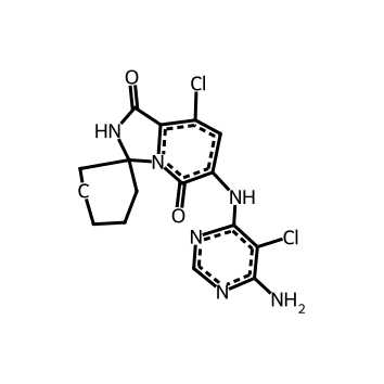 Nc1ncnc(Nc2cc(Cl)c3n(c2=O)C2(CCCCC2)NC3=O)c1Cl